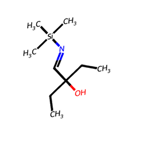 CCC(O)(C=N[Si](C)(C)C)CC